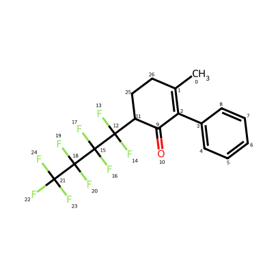 CC1=C(c2ccccc2)C(=O)C(C(F)(F)C(F)(F)C(F)(F)C(F)(F)F)CC1